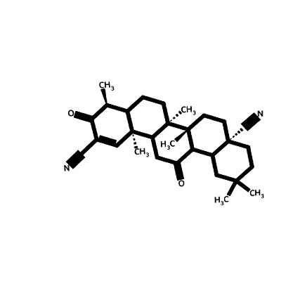 C[C@@H]1C(=O)C(C#N)=C[C@@]2(C)C1CC[C@]1(C)C2CC(=O)C2C3CC(C)(C)CC[C@]3(C#N)CC[C@]21C